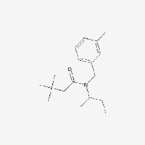 CCC(C)N(Cc1cccc(C)c1)C(=O)CC(C)(C)C